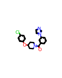 O=C(c1cccc(-n2ccnc2)c1)N1CCC(Oc2ccc(Cl)cc2)CC1